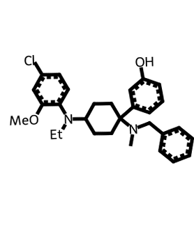 CCN(c1ccc(Cl)cc1OC)C1CCC(c2cccc(O)c2)(N(C)Cc2ccccc2)CC1